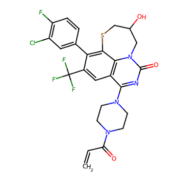 C=CC(=O)N1CCN(c2nc(=O)n3c4c(c(-c5ccc(F)c(Cl)c5)c(C(F)(F)F)cc24)SCC(O)C3)CC1